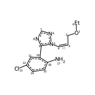 CCOC/C=C\n1ncnc1-c1cc(Cl)ccc1N